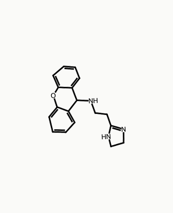 c1ccc2c(c1)Oc1ccccc1C2NCCC1=NCCN1